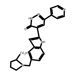 O=C(O)C1CCCN1Cc1ccc2[nH]c(-c3cc(-c4ccncc4)n[nH]c3=O)cc2c1